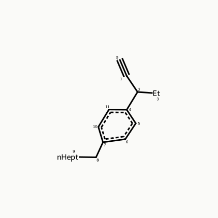 [C]#CC(CC)c1ccc(CCCCCCCC)cc1